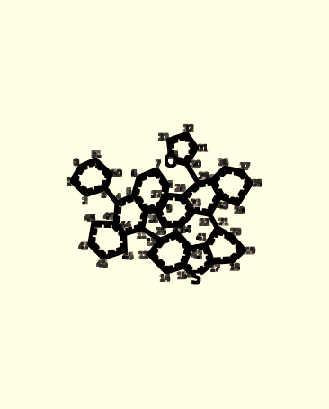 c1ccc(-c2c3ccccc3c(-c3ccc4sc5cccc(-c6c7ccccc7c(-c7ccco7)c7ccccc67)c5c4c3)c3ccccc23)cc1